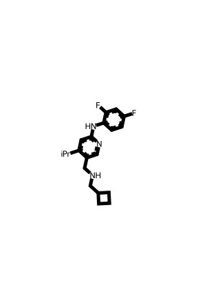 CC(C)c1cc(Nc2ccc(F)cc2F)ncc1CNCC1CCC1